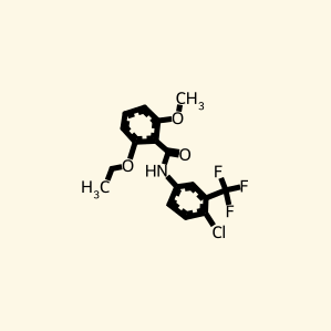 CCOc1cccc(OC)c1C(=O)Nc1ccc(Cl)c(C(F)(F)F)c1